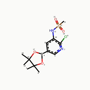 CC1(C)OB(c2cnc(Cl)c(NS(C)(=O)=O)c2)OC1(C)C